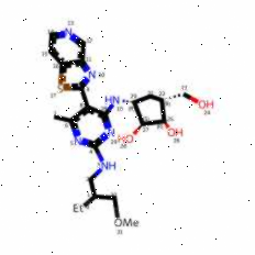 CCC(CNc1nc(C)c(-c2nc3cnccc3s2)c(N[C@@H]2C[C@H](CO)[C@@H](O)[C@H]2O)n1)COC